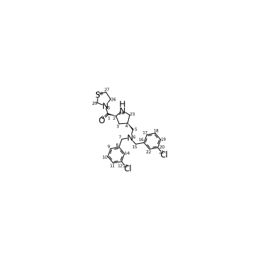 O=C([C@@H]1C[C@H](CN(Cc2cccc(Cl)c2)Cc2cccc(Cl)c2)CN1)N1CCSC1